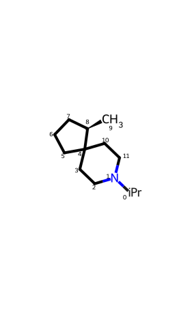 CC(C)N1CCC2(CCC[C@H]2C)CC1